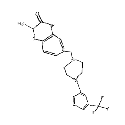 CC1Oc2ccc(CN3CCN(c4cccc(C(F)(F)F)c4)CC3)cc2NC1=O